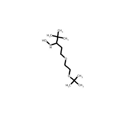 CC(C)(C)OCCOCCC(NO)C(C)(C)C